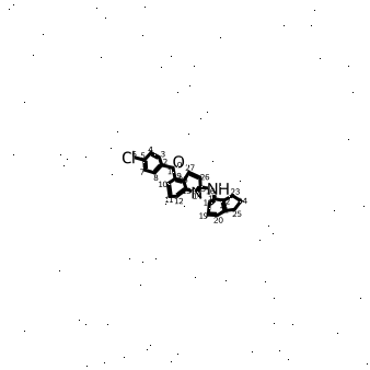 O=C(c1ccc(Cl)cc1)c1cccc2nc(Nc3cccc4c3CCC4)ccc12